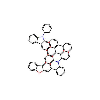 C1=CCC(n2c3ccccc3c3cc(-c4cccc(N(c5ccccc5-c5ccc6c(c5)oc5ccccc56)c5ccccc5-c5cccc6cccc(-c7ccccc7)c56)c4)ccc32)C=C1